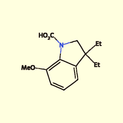 CCC1(CC)CN(C(=O)O)c2c(OC)cccc21